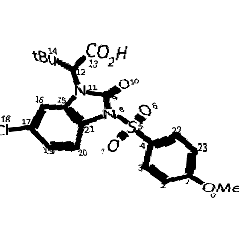 COc1ccc(S(=O)(=O)n2c(=O)n(C(C(=O)O)C(C)(C)C)c3cc(Cl)ccc32)cc1